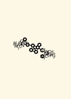 CC1(C)N=C(c2ccc(-c3ccc4c(c3)C3(c5ccccc5-c5ccccc53)c3cc(-c5ccc(C6=NC(C)(C)C(C)(C)N6c6ccccc6)nc5)c5ccccc5c3-4)cn2)N(c2ccccc2)C1(C)C